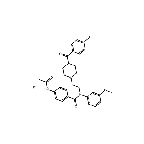 COc1cccc(N(CCN2CCC(C(=O)c3ccc(F)cc3)CC2)C(=O)c2ccc(NC(C)=O)cc2)c1.Cl